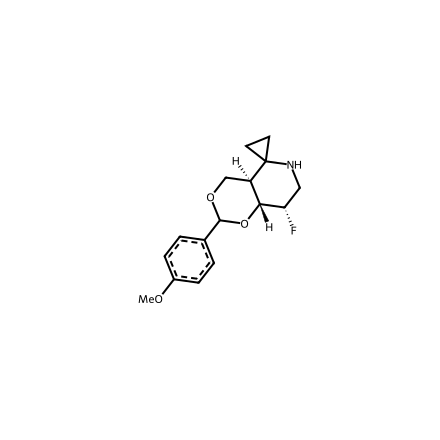 COc1ccc(C2OC[C@@H]3[C@@H](O2)[C@@H](F)CNC32CC2)cc1